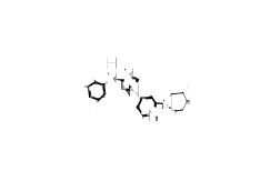 c1ccc(Nc2ncn(-c3ccnc(N4CCCCC4)c3)n2)cc1